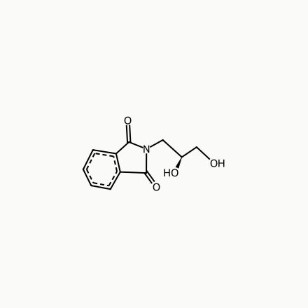 O=C1c2ccccc2C(=O)N1C[C@H](O)CO